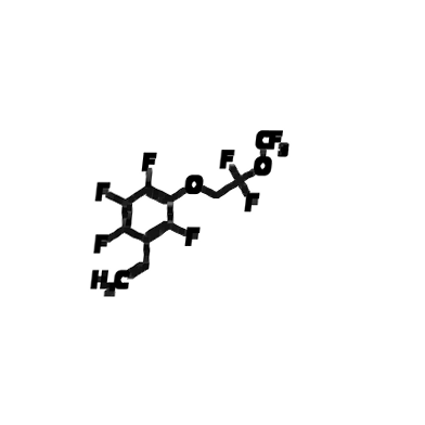 C=Cc1c(F)c(F)c(F)c(OCC(F)(F)OC(F)(F)F)c1F